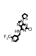 FC(F)(F)c1cc(CNc2nc(Cl)nc3c2ncn3[C@H]2CCCS2)ccn1